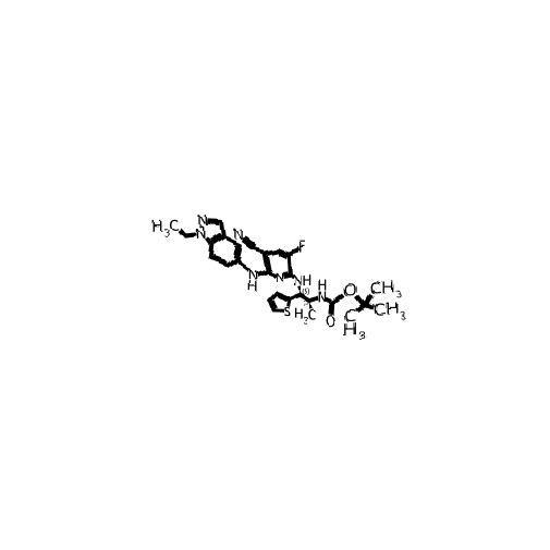 CCn1ncc2cc(Nc3nc(N[C@H](c4cccs4)[C@H](C)NC(=O)OC(C)(C)C)c(F)cc3C#N)ccc21